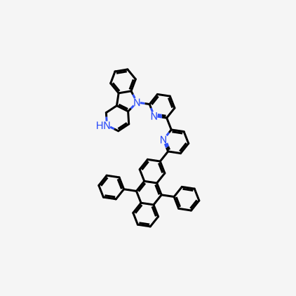 C1=Cc2c(c3ccccc3n2-c2cccc(-c3cccc(-c4ccc5c(-c6ccccc6)c6ccccc6c(-c6ccccc6)c5c4)n3)n2)CN1